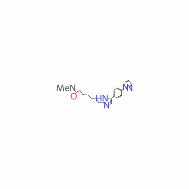 CNC(=O)CCCCCCc1ncc(-c2ccc(-n3cccn3)cc2)[nH]1